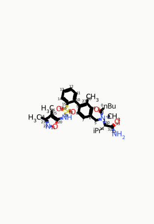 CCCCC(=O)[N+](C)(Cc1ccc(-c2ccccc2S(=O)(=O)Nc2onc(C)c2C)c(C)c1)[C@H](C(N)=O)C(C)C